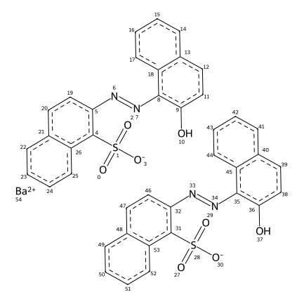 O=S(=O)([O-])c1c(N=Nc2c(O)ccc3ccccc23)ccc2ccccc12.O=S(=O)([O-])c1c(N=Nc2c(O)ccc3ccccc23)ccc2ccccc12.[Ba+2]